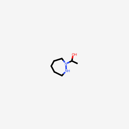 CC(O)N1CCCCCN1